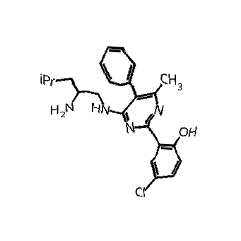 Cc1nc(-c2cc(Cl)ccc2O)nc(NCC(N)CC(C)C)c1-c1ccccc1